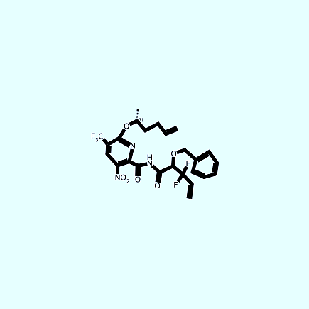 C=CCC[C@@H](C)Oc1nc(C(=O)NC(=O)C(OCc2ccccc2)C(F)(F)C=C)c([N+](=O)[O-])cc1C(F)(F)F